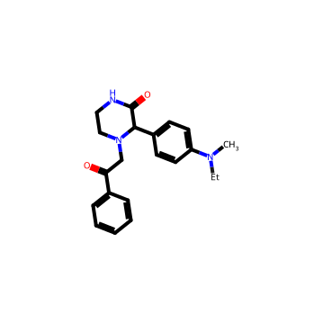 CCN(C)c1ccc(C2C(=O)NCCN2CC(=O)c2ccccc2)cc1